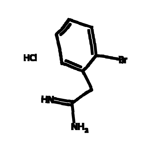 Cl.N=C(N)Cc1ccccc1Br